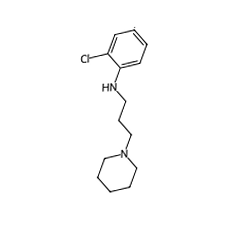 Clc1c[c]ccc1NCCCN1CCCCC1